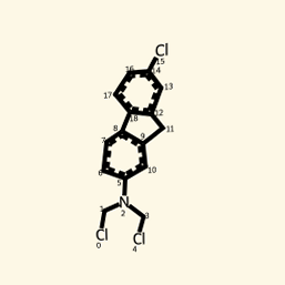 ClCN(CCl)c1ccc2c(c1)Cc1cc(Cl)ccc1-2